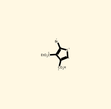 CCOC(=O)c1c(C(=O)O)csc1Br